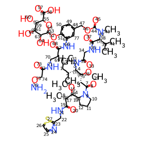 CCC(C)[C@@H]([C@@H](CC(=O)N1CCC[C@H]1[C@H](OC)[C@@H](C)C(=O)NCc1nccs1)OC)N(C)C(=O)CNC(=O)[C@H](C(C)C)N(C)C(=O)OCc1ccc(O[C@@H]2OC(C(=O)O)[C@@H](O)[C@H](O)C2O)c(NC(=O)CCNC(=O)CON)c1